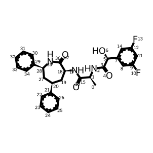 C[C@H](NC(=O)[C@@H](O)c1cc(F)cc(F)c1)C(=O)N[C@H]1C[C@@H](c2ccccc2)C[C@@H](c2ccccc2)NC1=O